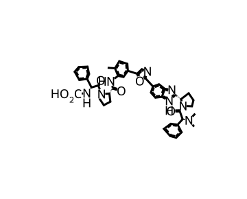 Cc1ccc(-c2cnc(-c3ccc4[nH]c([C@@H]5CCCN5C(=O)[C@@H](c5ccccc5)N(C)C)nc4c3)o2)cc1NC(=O)[C@@H]1CCCN1C(=O)[C@H](NC(=O)O)c1ccccc1